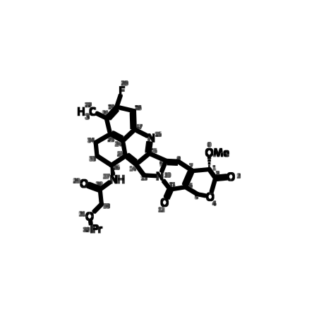 CO[C@@H]1C(=O)OCc2c1cc1n(c2=O)Cc2c-1nc1cc(F)c(C)c3c1c2[C@@H](NC(=O)COC(C)C)CC3